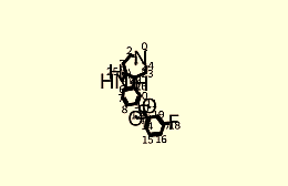 CN1CC[C@H]2Nc3ccc(S(=O)(=O)c4cccc(F)c4)cc3[C@@H]2CC1